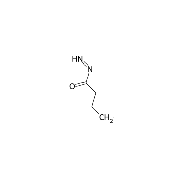 [CH2]CCC(=O)N=N